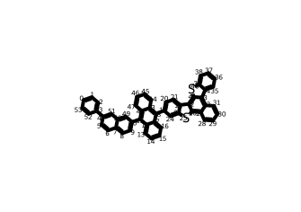 c1ccc(-c2ccc3ccc(-c4c5ccccc5c(-c5ccc6c(c5)sc5c7ccccc7c7c8ccccc8sc7c65)c5ccccc45)cc3c2)cc1